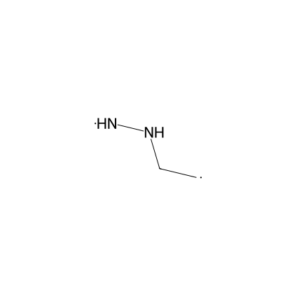 [CH2]CN[NH]